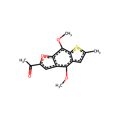 COc1c2cc(C(C)=O)oc2c(OC)c2sc(C)cc12